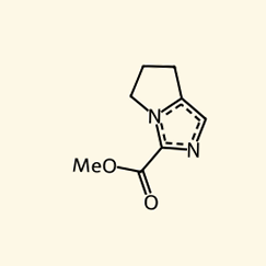 COC(=O)c1ncc2n1CCC2